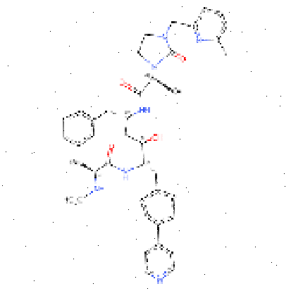 Cc1cccc(CN2CCN([C@H](C(=O)N[C@@H](Cc3ccccc3)C[C@@H](O)[C@H](Cc3ccc(-c4ccncc4)cc3)NC(=O)[C@@H](NC(=O)O)C(C)(C)C)C(C)(C)C)C2=O)n1